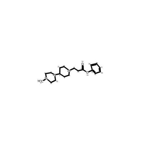 CN1CCN(C2CCN(CCC(=O)Oc3ccccc3)CC2)CC1